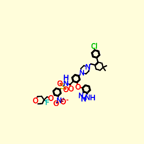 CC1(C)CCC(CN2CCN(c3ccc(C(=O)NS(=O)(=O)c4ccc(OCC5(F)CCOCC5)c([N+](=O)[O-])c4)c(Oc4cccc5[nH]nnc45)c3)CC2)=C(c2ccc(Cl)cc2)C1